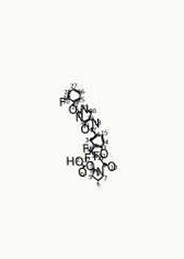 O=C(O)O[C@H]1CCCN1C(=O)COc1ccc(-c2nc3cnc(Oc4ccccc4F)nc3o2)cc1C(F)(F)F